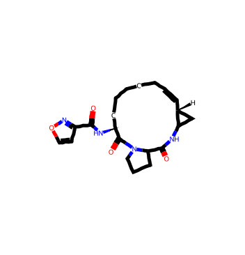 O=C(N[C@H]1CCCCC/C=C\[C@@H]2CC2NC(=O)C2CCCN2C1=O)c1ccon1